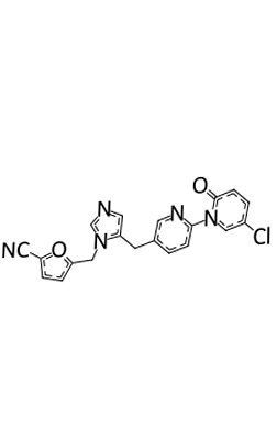 N#Cc1ccc(Cn2cncc2Cc2ccc(-n3cc(Cl)ccc3=O)nc2)o1